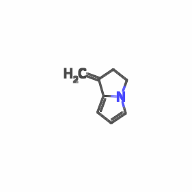 C=C1CCn2cccc21